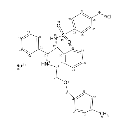 Cc1ccc(COCCN[C@H](c2ccccc2)[C@H](NS(=O)(=O)c2ccc(CCl)cc2)c2ccccc2)cc1.[Ru+2]